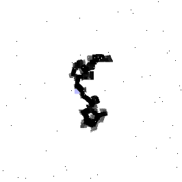 CC(C)C[C@@H](/C=C/CC(=O)N1CCC[C@@H]1C)NC(=O)OC(C)(C)C